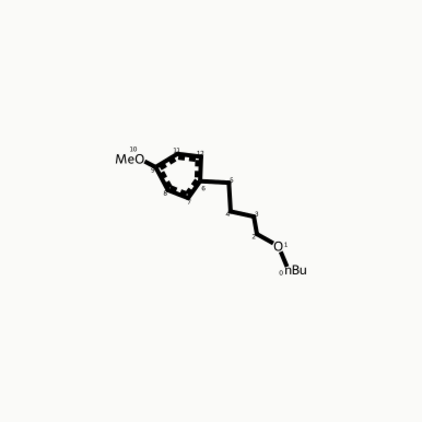 [CH2]CCCOCCCCc1ccc(OC)cc1